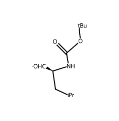 CC(C)C[C@@H]([C]=O)NC(=O)OC(C)(C)C